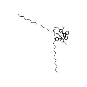 CCCCCCCCCCCCc1cccc([S](=O)(=O)[Ti](=[O])([O]C(C)C)[O]C(C)C)c1CCCCCCCCCCCC